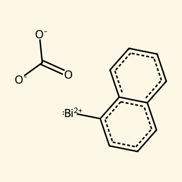 O=C([O-])[O-].[Bi+2][c]1cccc2ccccc12